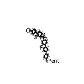 CCCCCC1CCC(c2ccc(C3CCC(C(F)(F)Oc4ccc(-c5ccc(Cl)cc5)c(F)c4)CC3)c(F)c2)CC1